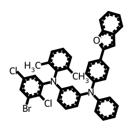 Cc1cccc(C)c1N(c1cccc(N(c2ccccc2)c2ccc(-c3cc4ccccc4o3)cc2)c1)c1cc(Cl)cc(Br)c1Cl